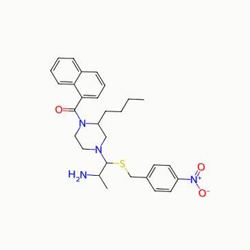 CCCCC1CN(C(SCc2ccc([N+](=O)[O-])cc2)C(C)N)CCN1C(=O)c1cccc2ccccc12